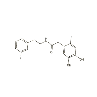 Cc1cccc(CCNC(=O)Cc2cc(O)c(O)cc2C)c1